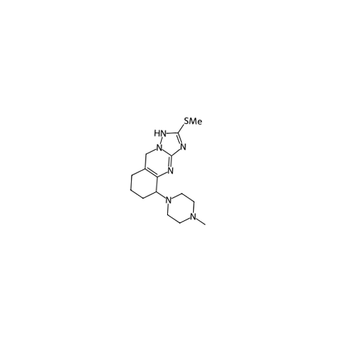 CSC1=NC2=NC3=C(CCCC3N3CCN(C)CC3)CN2N1